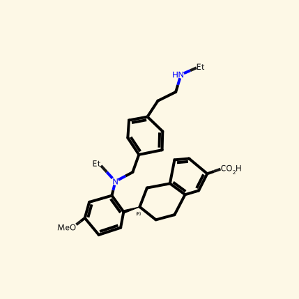 CCNCCc1ccc(CN(CC)c2cc(OC)ccc2[C@@H]2CCc3cc(C(=O)O)ccc3C2)cc1